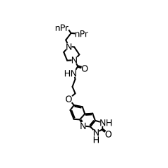 CCCC(CCC)CN1CCN(C(=O)NCCCOc2ccc3nc4[nH]c(=O)[nH]c4cc3c2)CC1